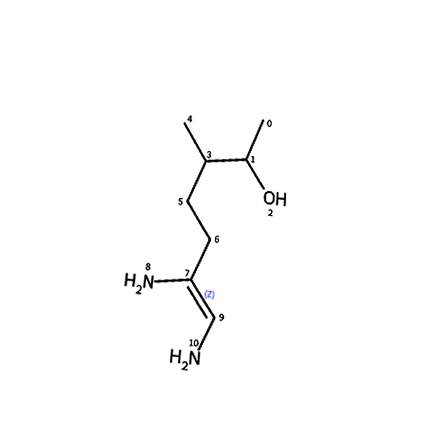 CC(O)C(C)CC/C(N)=C/N